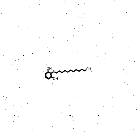 CCCCCCCCCCCCSc1c(O)cccc1O